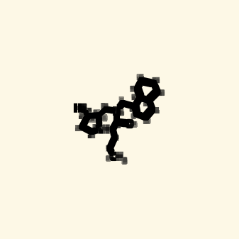 CCCCC(=O)N(Cc1cccc2ccccc12)C[C@H]1NCC[C@H]1S